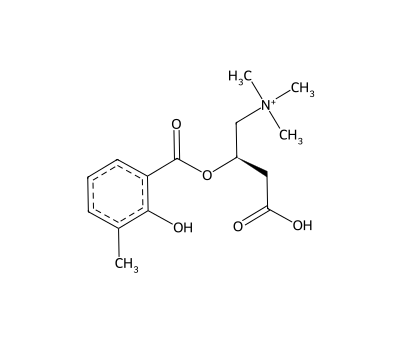 Cc1cccc(C(=O)O[C@H](CC(=O)O)C[N+](C)(C)C)c1O